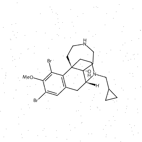 COc1c(Br)cc2c(c1Br)[C@@]13CCNCC[C@@]1(O)[C@@H](C2)N(CC1CC1)CC3